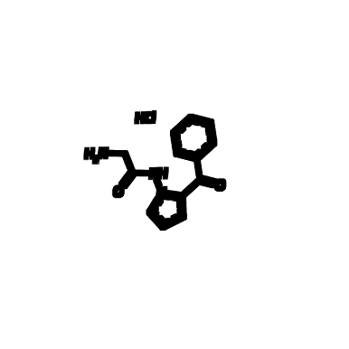 Cl.NCC(=O)Nn1cccc1C(=O)c1ccccc1